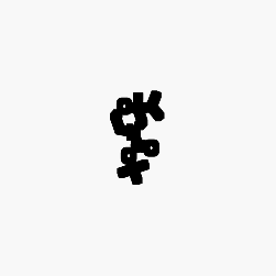 CC(C)C1(C)CN(C(=O)OC(C)(C)C)CCO1